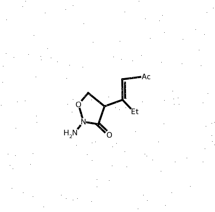 CCC(=CC(C)=O)C1CON(N)C1=O